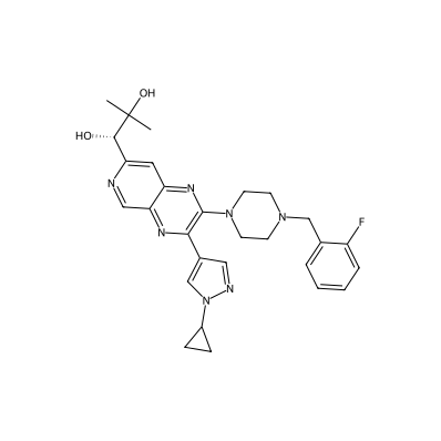 CC(C)(O)[C@@H](O)c1cc2nc(N3CCN(Cc4ccccc4F)CC3)c(-c3cnn(C4CC4)c3)nc2cn1